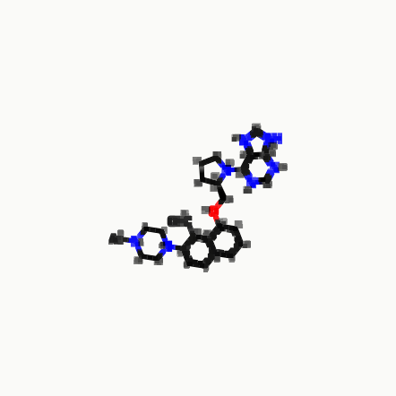 CC(=O)N1CCN(c2ccc3cccc(OC[C@H]4CCCN4c4ncnc5[nH]cnc45)c3c2C=O)CC1